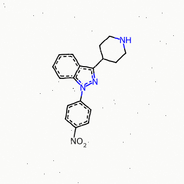 O=[N+]([O-])c1ccc(-n2nc(C3CCNCC3)c3ccccc32)cc1